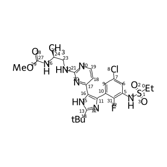 CCS(=O)(=O)Nc1cc(Cl)cc(-c2nc(C(C)(C)C)[nH]c2-c2ccnc(NC[C@H](C)NC(=O)OC)n2)c1F